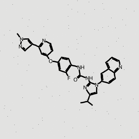 CC(C)c1cn(-c2ccc3ncccc3c2)c(NC(=O)Nc2ccc(Oc3ccnc(-c4cnn(C)c4)c3)cc2F)n1